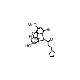 COc1cc(Br)c2c3c1O[C@@H]1C[C@H](O)C=C[C@]31CCN(C(=O)CCN1CCCC1)C2